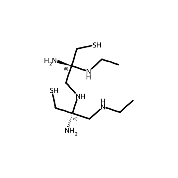 CCNC[C@@](N)(CS)NC[C@](N)(CS)NCC